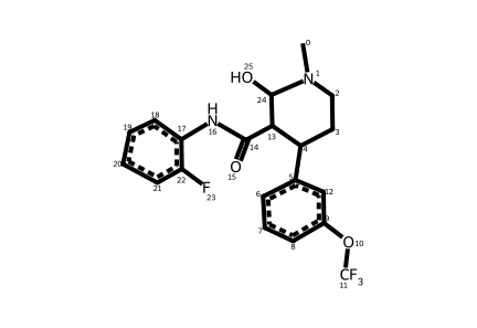 CN1CCC(c2cccc(OC(F)(F)F)c2)C(C(=O)Nc2ccccc2F)C1O